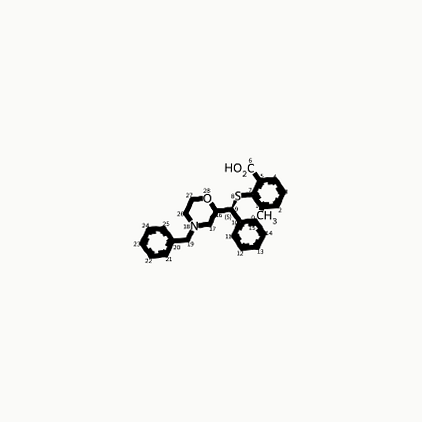 Cc1cccc(C(=O)O)c1S[C@@H](c1ccccc1)C1CN(Cc2ccccc2)CCO1